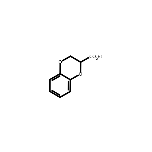 CCOC(=O)C1COc2ccccc2O1